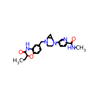 CCC1Oc2ccc(CN3CCN(c4ccc(C(=O)NC)nc4)C4CC43)cc2NC1=O